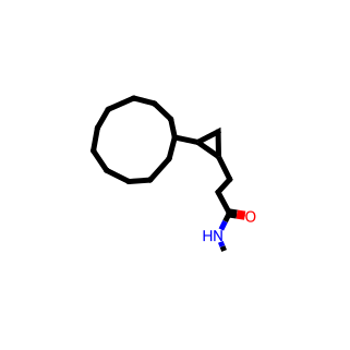 CNC(=O)CCC1CC1C1CCCCCCCCCC1